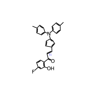 Cc1ccc(N(c2ccc(C)cc2)c2ccc(/C=C/C(=O)c3ccc(F)cc3O)cc2)cc1